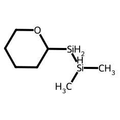 C[SiH](C)[SiH2]C1CCCCO1